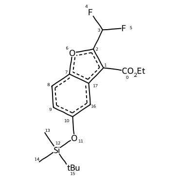 CCOC(=O)c1c(C(F)F)oc2ccc(O[Si](C)(C)C(C)(C)C)cc12